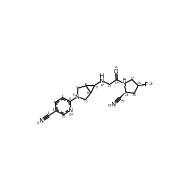 N#Cc1ccc(N2CC3C(C2)C3NCC(=O)N2C[C@@H](F)C[C@H]2C#N)nc1